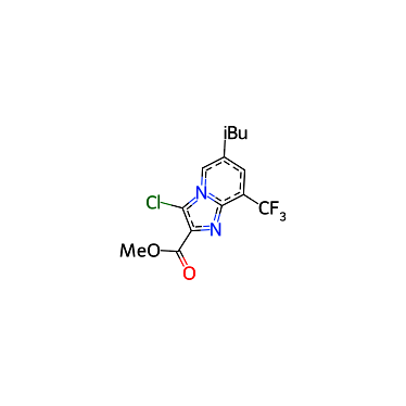 CCC(C)c1cc(C(F)(F)F)c2nc(C(=O)OC)c(Cl)n2c1